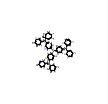 C=C(/C=C\C(=C/C)N(c1ccc(N(c2ccccc2)c2ccccc2)cc1)c1ccc(N(c2ccccc2)c2ccccc2)cc1)N(c1ccccc1)C1(C)C=CC=CC1